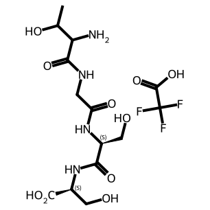 CC(O)C(N)C(=O)NCC(=O)N[C@@H](CO)C(=O)N[C@@H](CO)C(=O)O.O=C(O)C(F)(F)F